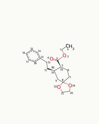 CCOC(=O)[C@H]1CCC2(C[C@H]1CCc1ccccc1)OCCO2